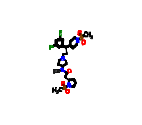 CCN(C(=O)C[C@@H]1CCCN1S(C)(=O)=O)C1CCN(CC[C@@H](c2cc(F)cc(F)c2)C2CCN(S(C)(=O)=O)CC2)CC1